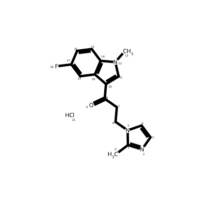 Cc1nccn1CCC(=O)c1cn(C)c2ccc(F)cc12.Cl